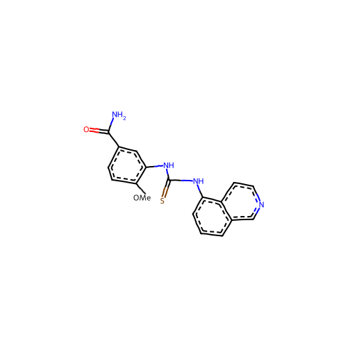 COc1ccc(C(N)=O)cc1NC(=S)Nc1cccc2cnccc12